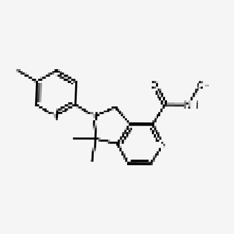 Cc1ccc(N2Cc3c(ccnc3C(=O)NO)C2(C)C)nc1